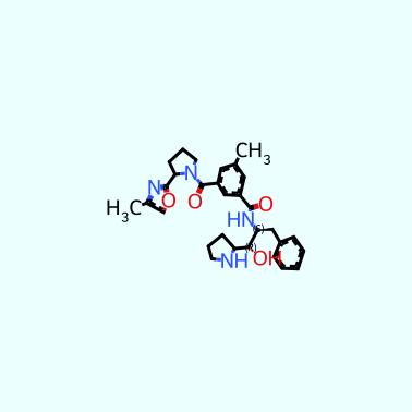 Cc1cc(C(=O)N[C@@H](Cc2ccccc2)[C@H](O)C2CCCN2)cc(C(=O)N2CCCC2c2nc(C)co2)c1